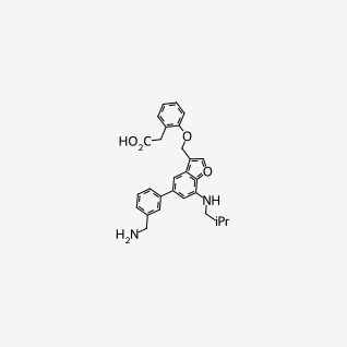 CC(C)CNc1cc(-c2cccc(CN)c2)cc2c(COc3ccccc3CC(=O)O)coc12